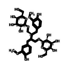 COc1cc(CC(CO[C@@H]2O[C@H](CO)[C@@H](O)[C@H](O)[C@H]2O)[C@@H](CO[C@@H]2O[C@H](CO)[C@@H](O)[C@H](O)[C@H]2O)Cc2ccc(O)c(OC)c2)ccc1O